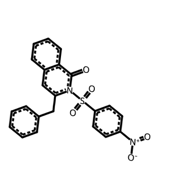 O=c1c2ccccc2cc(Cc2ccccc2)n1S(=O)(=O)c1ccc([N+](=O)[O-])cc1